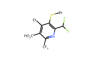 CCc1c(SC(C)C)c(C(F)F)nc(C(F)(F)F)c1C(=O)O